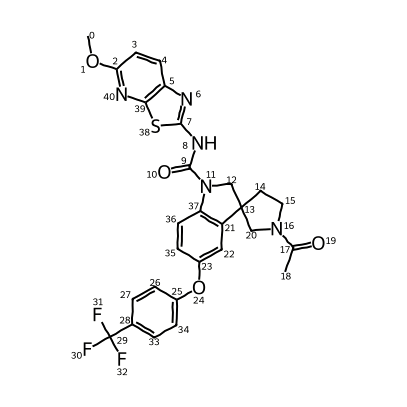 COc1ccc2nc(NC(=O)N3CC4(CCN(C(C)=O)C4)c4cc(Oc5ccc(C(F)(F)F)cc5)ccc43)sc2n1